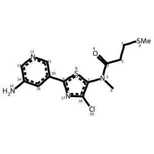 CSCCC(=O)N(C)c1sc(-c2cncc(N)c2)nc1Cl